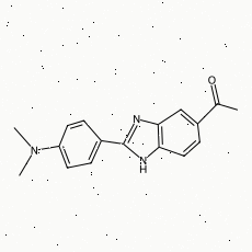 CC(=O)c1ccc2[nH]c(-c3ccc(N(C)C)cc3)nc2c1